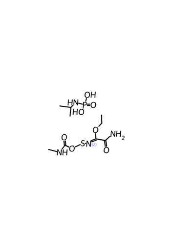 CC(C)NP(=O)(O)O.CCO/C(=N\SOC(=O)NC)C(N)=O